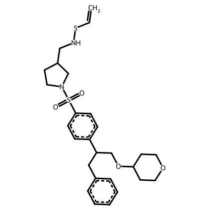 C=CSNCC1CCN(S(=O)(=O)c2ccc(C(COC3CCOCC3)Cc3ccccc3)cc2)C1